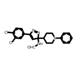 O=CNC1(C2CCN(c3ccccc3)CC2)C=C(c2ccc(Cl)c(Cl)c2)N=N1